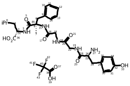 CC(C)C[C@H](NC(=O)[C@@](C)(Cc1ccccc1)NC(=O)CNC(=O)CNC(=O)[C@@H](N)Cc1ccc(O)cc1)C(=O)O.O=C(O)C(F)(F)F